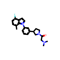 Cc1ccc(F)c2ccn(-c3cccc(C4CCN(C(=O)CN(C)C)C4)c3)c12